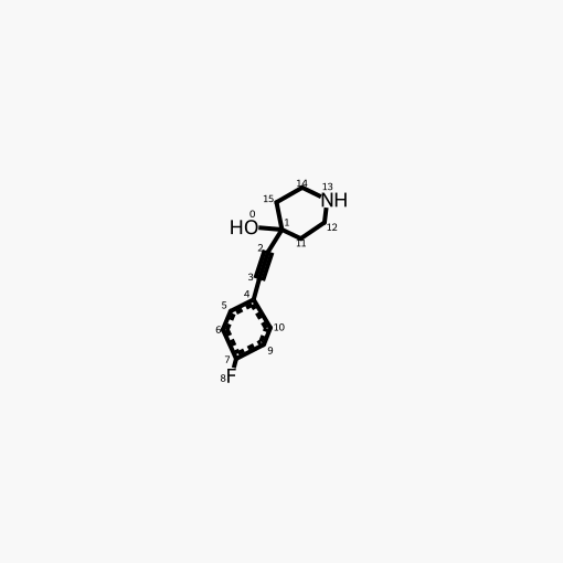 OC1(C#Cc2ccc(F)cc2)CCNCC1